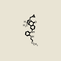 COCCNc1ccccc1Nc1ccc2c(c1)[C@]1(C)CCN(CC3CC3)C(C2=O)[C@@H]1C